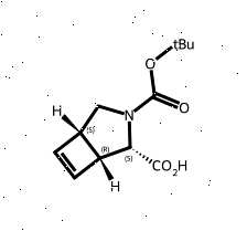 CC(C)(C)OC(=O)N1C[C@H]2C=C[C@H]2[C@H]1C(=O)O